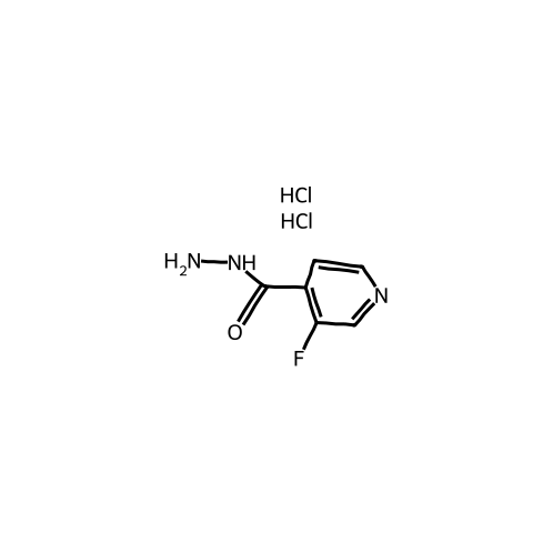 Cl.Cl.NNC(=O)c1ccncc1F